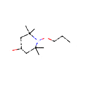 CCCON1C(C)(C)CC(O)CC1(C)C